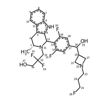 C[C@@H]1Cc2c([nH]c3ccccc23)C(c2c(F)cc(C(O)C3CN(CCCF)C3)cc2F)N1CC(F)(F)CO